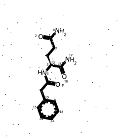 NC(=O)CC[C@H](NC(=O)Cc1ccccc1)C(N)=O